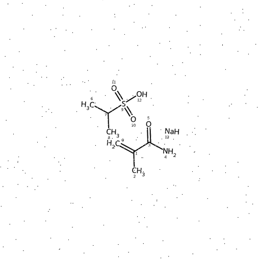 C=C(C)C(N)=O.CC(C)S(=O)(=O)O.[NaH]